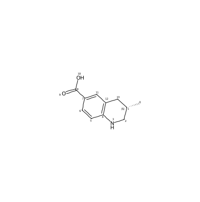 C[C@@H]1CNc2ccc(C(=O)O)cc2C1